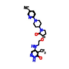 N#Cc1ccc(N2CCC(N3CC[C@H](OCCNc4cn[nH]c(=O)c4C(F)(F)F)C3=O)CC2)nc1